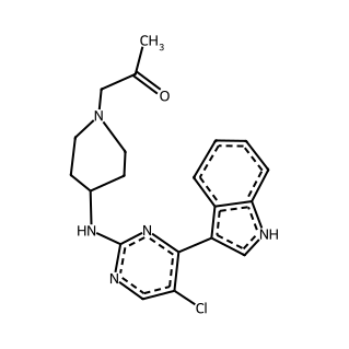 CC(=O)CN1CCC(Nc2ncc(Cl)c(-c3c[nH]c4ccccc34)n2)CC1